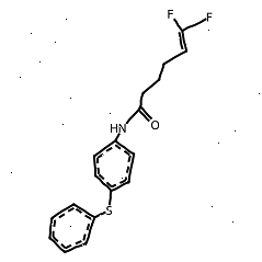 O=C(CCCC=C(F)F)Nc1ccc(Sc2ccccc2)cc1